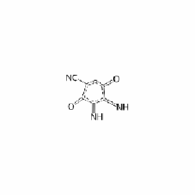 N#Cc1cc(=O)c(=N)c(=N)c1=O